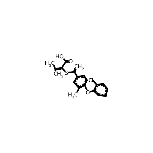 C=C(SC(C(=O)O)=C(C)C)c1ccc(Oc2ccccc2Cl)c(C)c1